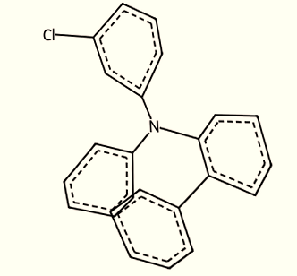 Clc1cccc(N(c2ccccc2)c2ccccc2-c2ccccc2)c1